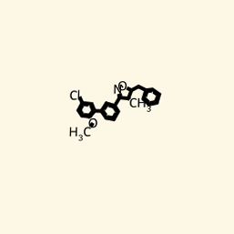 COc1ccc(Cl)cc1-c1cccc(C2=NOC(Cc3ccccc3)C2C)c1